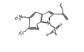 C=C(C)c1cc2cc([N+](=O)[O-])c(C(F)(F)F)cc2n1S(C)(=O)=O